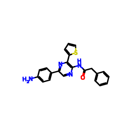 Nc1ccc(-c2cnc(NC(=O)Cc3ccccc3)c(-c3cccs3)n2)cc1